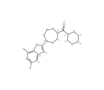 Cc1cc(C)c2sc(N3CCCN(C(=O)N4CCOCC4)CC3)nc2c1